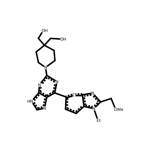 CCn1c(COC)nc2cc(-c3nc(N4CCC(CO)(CO)CC4)nc4[nH]cnc34)ccc21